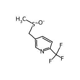 C[S+]([O-])Cc1ccc(C(F)(F)F)nc1